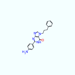 Nc1ccc(-c2nc3ncn(CCCc4ccccc4)c3c(=O)[nH]2)cc1